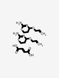 C=CCOC1CCSC(N)=N1.C=CCOC1CCSC(N)=N1.O=C(O)/C=C/C(=O)O